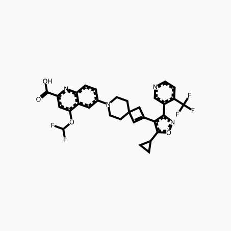 O=C(O)c1cc(OC(F)F)c2cc(N3CCC4(C=C(c5c(-c6cnccc6C(F)(F)F)noc5C5CC5)C4)CC3)ccc2n1